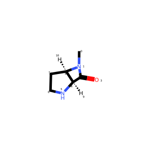 CN1C(=O)[C@H]2NCC[C@H]21